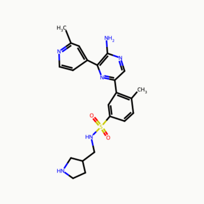 Cc1cc(-c2nc(-c3cc(S(=O)(=O)NCC4CCNC4)ccc3C)cnc2N)ccn1